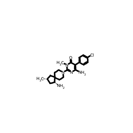 C[C@H]1C[C@@H](N)C2(CCN(c3nc(N)c(-c4ccc(Cl)cc4)c(=O)n3C)CC2)C1